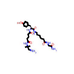 CC(C)(CN)NC(=O)CCCC(=O)N[C@@H](Cc1ccc(O)cc1)C(=O)NCCCCCC(=O)NCC(N)=O